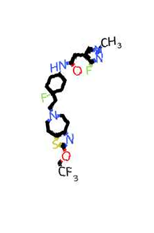 Cn1cc(CC(=O)N[C@H]2CC[C@](F)(CCN3CCc4nc(OCC(F)(F)F)sc4CC3)CC2)c(F)n1